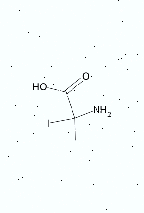 CC(N)(I)C(=O)O